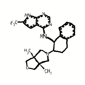 C[C@@]12COC[C@]1(C)CN(C1CCc3ccccc3C1Nc1ncnc3[nH]c(C(F)(F)F)cc13)C2